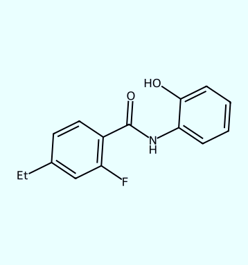 CCc1ccc(C(=O)Nc2ccccc2O)c(F)c1